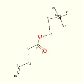 C=CCCC(=O)OCC[Si](C)(C)C